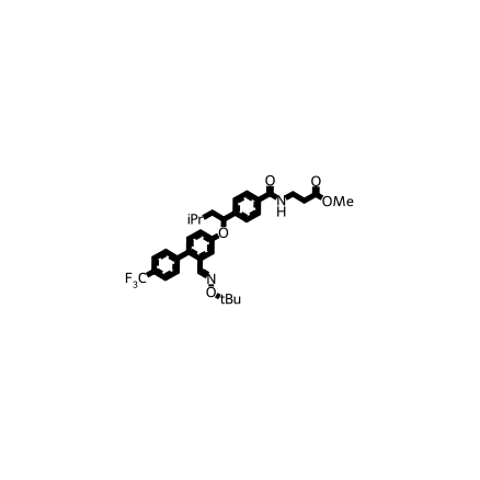 COC(=O)CCNC(=O)c1ccc(C(CC(C)C)Oc2ccc(-c3ccc(C(F)(F)F)cc3)c(C=NOC(C)(C)C)c2)cc1